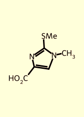 CSc1nc(C(=O)O)cn1C